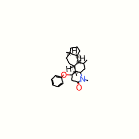 CC1CC2N(C)C(=O)CC(Oc3ccccc3)[C@]2(C)[C@@H]2CC[C@]3(C)CCC[C@H]3[C@H]12